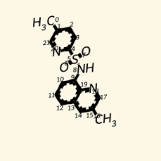 Cc1ccc(S(=O)(=O)Nc2cccc3cc(C)cnc23)nc1